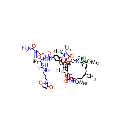 COc1cc(NC(=O)[C@H](CCCNC(N)=O)NC(=O)[C@@H](NC(=S)NCCCCN2C(=O)C=CC2=O)C(C)C)ccc1C(=O)N(C)[C@@H](C)C(=O)O[C@H]1CCN(C)c2cc(cc(OC)c2Cl)C/C(C)=C/C=C/[C@@H](OC)[C@@]2(O)C[C@H](OC(=O)N2)[C@@H](C)[C@@H]2O[C@@]12C